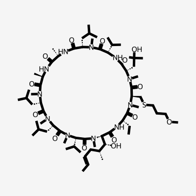 C/C=C/C[C@@H](C)[C@@H](O)[C@H]1C(=O)N[C@@H](CC)C(=O)N(C)[C@H](CSCCCOC)C(=O)N(C)[C@@H](CC(C)(C)O)C(=O)N[C@@H](C(C)C)C(=O)N(C)[C@@H](CC(C)C)C(=O)N[C@@H](C)C(=O)N[C@H](C)C(=O)N(C)[C@@H](CC(C)C)C(=O)N(C)[C@@H](CC(C)C)C(=O)N(C)[C@@H](C(C)C)C(=O)N1C